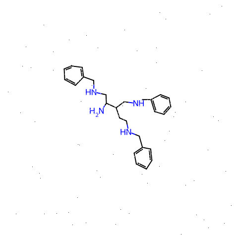 NC(CNCc1ccccc1)C(CCNCc1ccccc1)CNCc1ccccc1